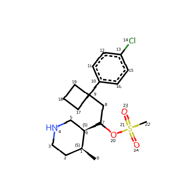 C[C@H]1CCNC[C@H]1C(CC1(c2ccc(Cl)cc2)CCC1)OS(C)(=O)=O